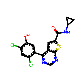 O=C(NC1CC1)c1cc2c(-c3cc(O)c(Cl)cc3Cl)ncnc2s1